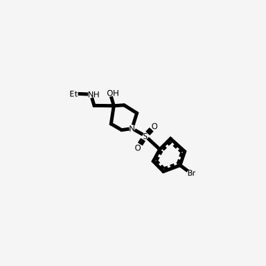 CCNCC1(O)CCN(S(=O)(=O)c2ccc(Br)cc2)CC1